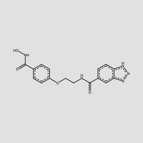 O=C(NO)c1ccc(OCCNC(=O)c2ccc3[nH]nnc3c2)cc1